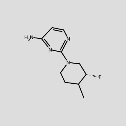 CC1CCN(c2nccc(N)n2)C[C@@H]1F